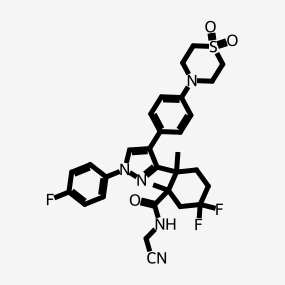 CC1(C(=O)NCC#N)CC(F)(F)CCC1(C)c1nn(-c2ccc(F)cc2)cc1-c1ccc(N2CCS(=O)(=O)CC2)cc1